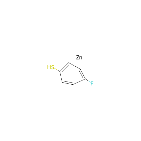 Fc1ccc(S)cc1.[Zn]